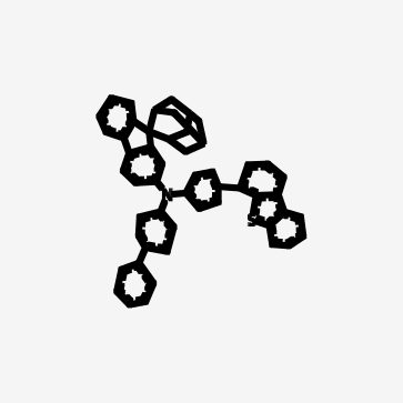 c1ccc(-c2ccc(N(c3ccc(-c4cccc5c4sc4ccccc45)cc3)c3ccc4c(c3)C3(c5ccccc5-4)C4CC5CC(C4)CC3C5)cc2)cc1